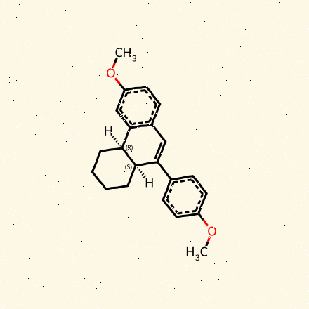 COc1ccc(C2=Cc3ccc(OC)cc3[C@@H]3CCCC[C@H]23)cc1